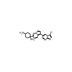 NC1CCC(N)(c2ncc3c(-c4cnc5ncc(Cl)n5c4)ccn3n2)CC1